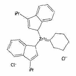 CC(C)C1=C[CH]([Zr+2](=[C]2CCCCC2)[CH]2C=C(C(C)C)c3ccccc32)c2ccccc21.[Cl-].[Cl-]